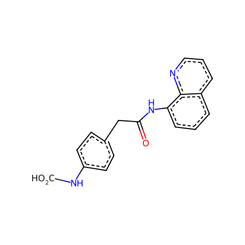 O=C(O)Nc1ccc(CC(=O)Nc2cccc3cccnc23)cc1